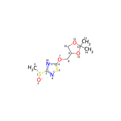 C[S+]([O-])c1nsc(OCC2COC(C)(C)O2)n1